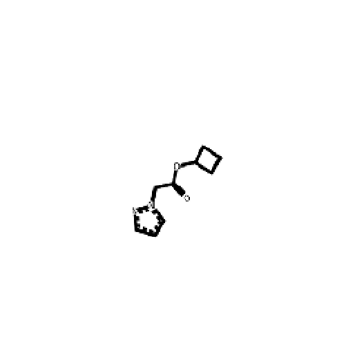 O=C(Cn1cccn1)OC1CCC1